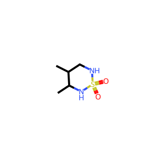 CC1CNS(=O)(=O)NC1C